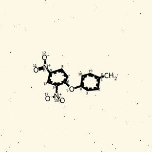 [CH2]c1ccc(Oc2ccc([N+](=O)[O-])cc2[N+](=O)[O-])cc1